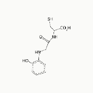 O=C(CNc1ccccc1O)NC(CS)C(=O)O